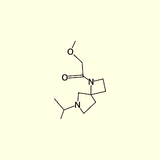 COCC(=O)N1CCC12CCN(C(C)C)C2